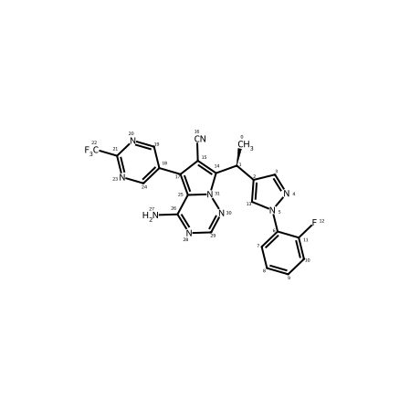 C[C@@H](c1cnn(-c2ccccc2F)c1)c1c(C#N)c(-c2cnc(C(F)(F)F)nc2)c2c(N)ncnn12